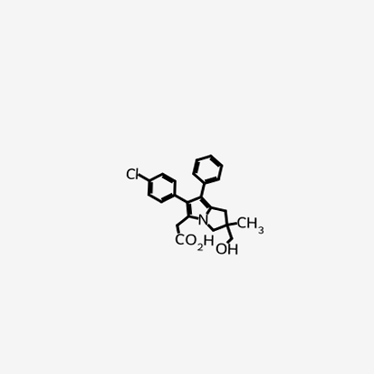 CC1(CO)Cc2c(-c3ccccc3)c(-c3ccc(Cl)cc3)c(CC(=O)O)n2C1